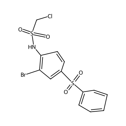 O=S(=O)(CCl)Nc1ccc(S(=O)(=O)c2ccccc2)cc1Br